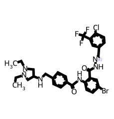 CCN1CC(NCc2ccc(C(=O)Nc3ccc(Br)cc3C(=O)N/N=C/c3ccc(Cl)c(C(F)(F)F)c3)cc2)CN1CC